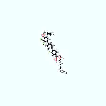 C/C=C/CCC1COC(c2ccc(-c3ccc(-c4ccc(OCCCCCCC)c(F)c4F)cc3)c(F)c2)OC1